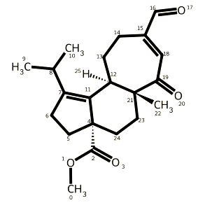 COC(=O)[C@]12CCC(C(C)C)=C1[C@H]1CCC(C=O)=CC(=O)[C@]1(C)CC2